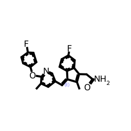 CC1=C(CC(N)=O)c2cc(F)ccc2/C1=C\c1cnc(Oc2ccc(F)cc2)c(C)c1